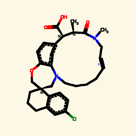 C[C@H]1C(=O)N(C)C/C=C/CCCCN2C[C@@]3(CCCc4cc(Cl)ccc43)COc3ccc(cc32)[C@H]1C(=O)O